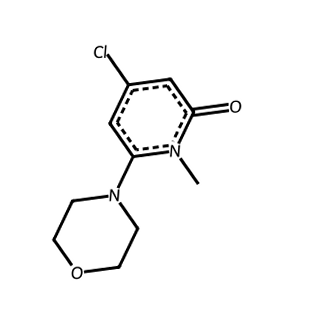 Cn1c(N2CCOCC2)cc(Cl)cc1=O